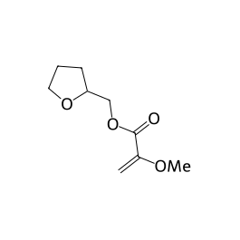 C=C(OC)C(=O)OCC1CCCO1